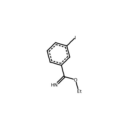 CCOC(=N)c1cccc(I)c1